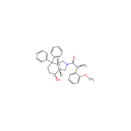 COc1ccccc1[C@H](C)C(=O)N1C[C@H]2[C@@H](C1)C(c1ccccc1)(c1ccccc1)CC[C@@H]2O